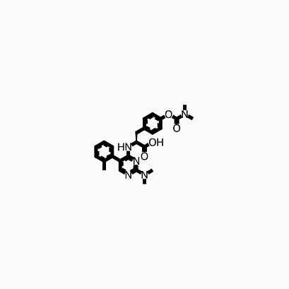 Cc1ccccc1-c1cnc(N(C)C)nc1N[C@@H](Cc1ccc(OC(=O)N(C)C)cc1)C(=O)O